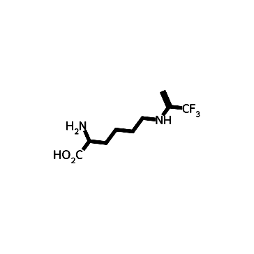 C=C(NCCCCC(N)C(=O)O)C(F)(F)F